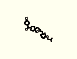 CC(C)COc1cccc(CN2CCC3(CC2)CCN(C(=O)c2ccc(Cl)cc2)CC3)n1